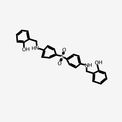 O=S(=O)(c1ccc(NCc2ccccc2O)cc1)c1ccc(NCc2ccccc2O)cc1